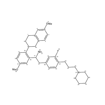 COc1ccc2c(c1)CCC(c1ccc(OC)cc1C(N)Cc1ccc(CCCN3CCCCC3)c(F)c1)C2